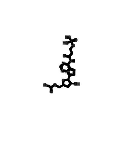 CC(C)C(=O)OC[C@@H]1C[C@@H](O)[C@H](c2ccc3c(NC(=O)CCOP(=O)(O)O)ncnn23)O1